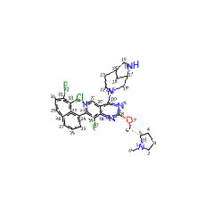 CN1CCC[C@H]1COc1nc(N2CCC3CNC(C3)C2)c2cnc(-c3cccc4ccc(F)c(Cl)c34)c(F)c2n1